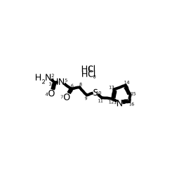 Cl.Cl.NC(=O)NC(=O)CCSCc1ccccn1